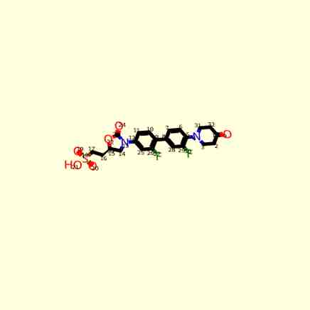 O=C1CCN(c2ccc(-c3ccc(N4C[C@@H](CCS(=O)(=O)O)OC4=O)cc3F)cc2F)CC1